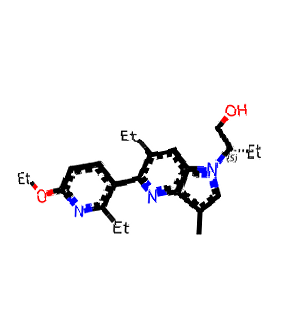 CCOc1ccc(-c2nc3c(C)cn([C@@H](CC)CO)c3cc2CC)c(CC)n1